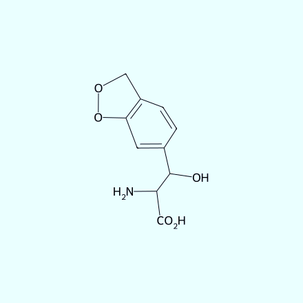 NC(C(=O)O)C(O)c1ccc2c(c1)OOC2